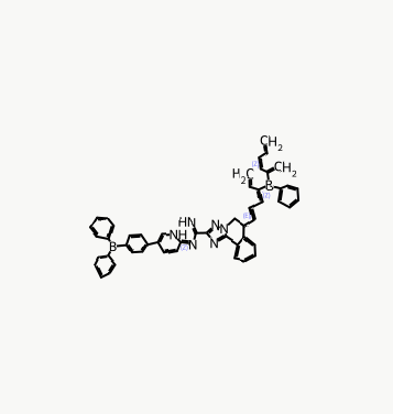 C=C/C=C\C(=C)B(/C(C=C)=C/C=C/C1Cn2nc(C(=N)/N=c3/ccc(-c4ccc(B(c5ccccc5)c5ccccc5)cc4)c[nH]3)nc2-c2ccccc21)c1ccccc1